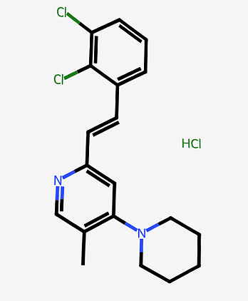 Cc1cnc(C=Cc2cccc(Cl)c2Cl)cc1N1CCCCC1.Cl